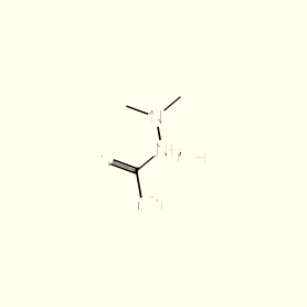 CCCC(=S)NN(C)C.Cl